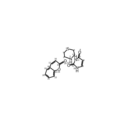 C1CSCCN1.O=c1cc[nH]c(=O)[nH]1.O=c1ccc2ccccc2o1